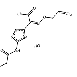 C=CCO/N=C(\C(=O)Cl)c1csc(NC(=O)CCl)n1.Cl